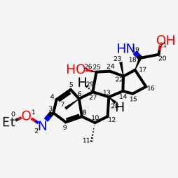 CCO/N=C1\C=C[C@@]2(C)C(=C1)[C@@H](C)C[C@H]1C3CC[C@H](C(=N)CO)[C@@]3(C)C[C@H](O)[C@@H]12